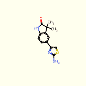 CC1(C)C(=O)Nc2ccc(-c3csc(N)n3)cc21